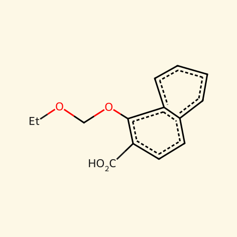 CCOCOc1c(C(=O)O)ccc2ccccc12